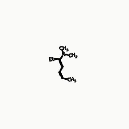 C/C=C\C=C(/CC)N(C)C